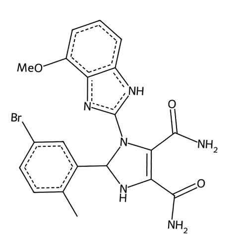 COc1cccc2[nH]c(N3C(C(N)=O)=C(C(N)=O)NC3c3cc(Br)ccc3C)nc12